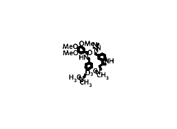 CN(C)CCc1c[nH]c2ccc(Cn3cncn3)cc12.COc1cc(C(=O)NCc2ccc(OCCN(C)C)cc2)cc(OC)c1OC